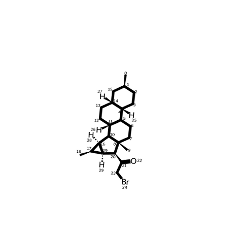 C[C@H]1CC[C@@H]2C3CC[C@@]4(C)C([C@@H]3CC[C@@H]2C1)[C@@H]1[C@H](C)[C@@H]1[C@@H]4C(=O)CBr